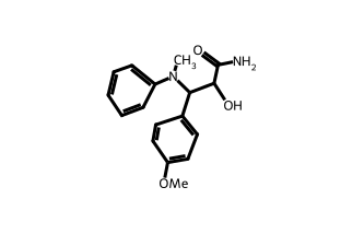 COc1ccc(C(C(O)C(N)=O)N(C)c2ccccc2)cc1